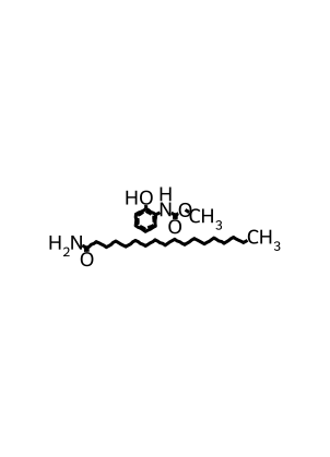 CCCCCCCCCCCCCCCCCC(N)=O.COC(=O)Nc1ccccc1O